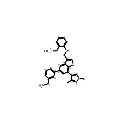 CCOC(=O)Cc1ccccc1OCc1coc2c(-c3cn(C)nc3C)cc(-c3cccc(CN)c3)cc12